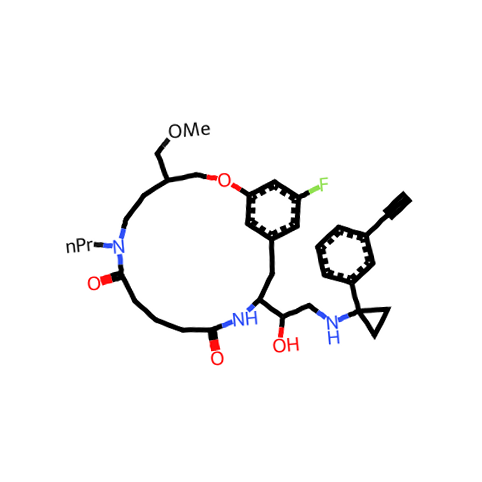 C#Cc1cccc(C2(NCC(O)C3Cc4cc(F)cc(c4)OCC(COC)CCN(CCC)C(=O)CCCC(=O)N3)CC2)c1